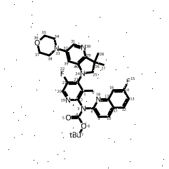 Cc1c(N(C(=O)OC(C)(C)C)c2ccc3ccc(F)cc3n2)ncc(F)c1N1CC(C)(C)c2ncc(N3CCOCC3)cc21